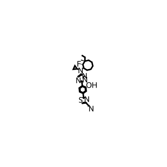 CC[C@]1(C)CCCCC[C@H](N(c2cnc(-c3ccc(-c4nc(C#N)cs4)cc3O)nn2)C2CC2)[C@@H]1F